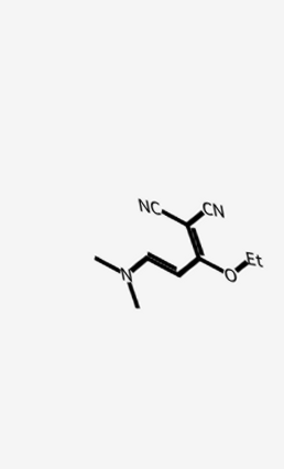 CCOC(C=CN(C)C)=C(C#N)C#N